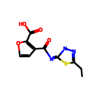 CCC1=N[N]C(=NC(=O)c2ccoc2C(=O)O)S1